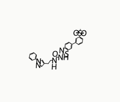 CS(=O)(=O)c1cccc(-c2ccc3nc(NC(=O)NCCc4cnn(-c5ccccc5)c4)sc3c2)c1